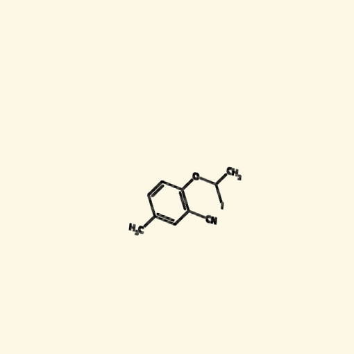 Cc1ccc(OC(C)I)c(C#N)c1